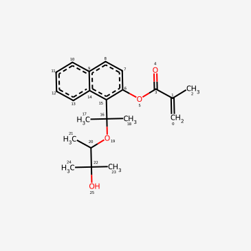 C=C(C)C(=O)Oc1ccc2ccccc2c1C(C)(C)OC(C)C(C)(C)O